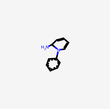 NC1C=CC=CN1c1ccccc1